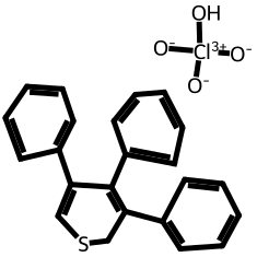 C1=C(c2ccccc2)C(c2ccccc2)=C(c2ccccc2)CS1.[O-][Cl+3]([O-])([O-])O